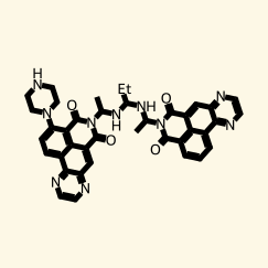 CCC(NC(C)N1C(=O)c2cccc3c2c(cc2nccnc23)C1=O)NC(C)N1C(=O)c2cc3nccnc3c3ccc(N4CCNCC4)c(c23)C1=O